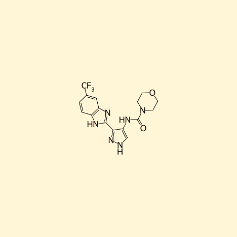 O=C(Nc1c[nH]nc1-c1nc2cc(C(F)(F)F)ccc2[nH]1)N1CCOCC1